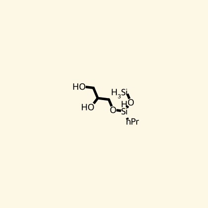 CCC[SiH](O[SiH3])OCC(O)CO